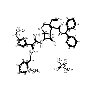 C=CC1=C(C(=O)OC(c2ccccc2)c2ccccc2)N2C(=O)C(NC(=O)C(=NOCc3cccc[n+]3C)c3csc(NC=O)n3)[C@@H]2SC1.COS(=O)(=O)[O-]